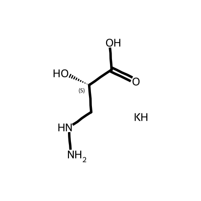 NNC[C@H](O)C(=O)O.[KH]